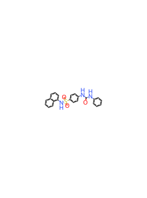 O=C(Nc1ccccc1)Nc1ccc(S(=O)(=O)Nc2cccc3ccccc23)cc1